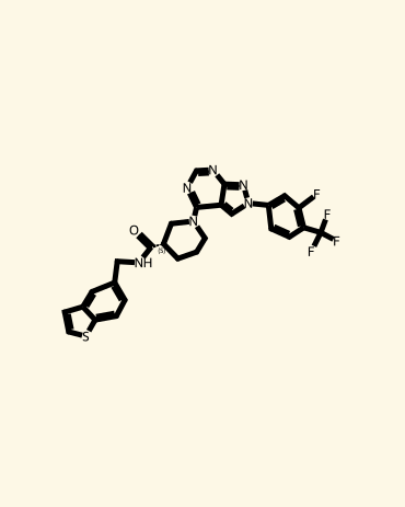 O=C(NCc1ccc2sccc2c1)[C@H]1CCCN(c2ncnc3nn(-c4ccc(C(F)(F)F)c(F)c4)cc23)C1